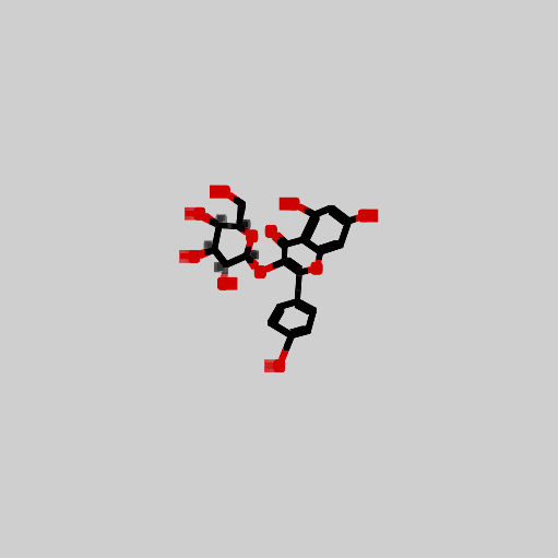 O=c1c(O[C@@H]2O[C@H](CO)[C@H](O)[C@H](O)[C@H]2O)c(-c2ccc(O)cc2)oc2cc(O)cc(O)c12